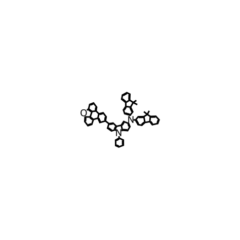 CC1(C)c2ccccc2-c2ccc(N(c3ccc4c(c3)C(C)(C)c3ccccc3-4)c3ccc4c(c3)c3cc(-c5ccc6c(c5)c5cccc7oc8cccc6c8c75)ccc3n4-c3ccccc3)cc21